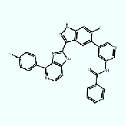 O=C(Nc1cncc(-c2cc3c(-c4nc5c(-c6ccc(F)cc6)nccc5[nH]4)n[nH]c3cc2F)c1)c1ccccc1